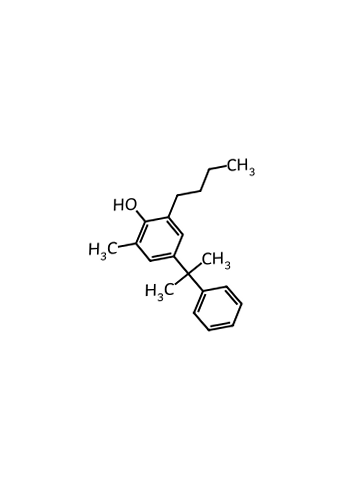 CCCCc1cc(C(C)(C)c2ccccc2)cc(C)c1O